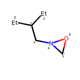 CCC(CC)CN1[CH]O1